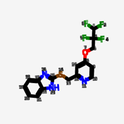 FC(F)C(F)(F)COc1ccnc(CSc2nc3ccccc3[nH]2)c1